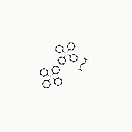 O=C([O-])/C=C/C(=O)[O-].c1ccc([P+](c2ccccc2)(c2ccccc2)c2ccccc2)cc1.c1ccc([P+](c2ccccc2)(c2ccccc2)c2ccccc2)cc1